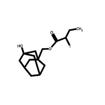 CCC(I)C(=O)OCC12CC3CC(CC(O)(C3)C1)C2